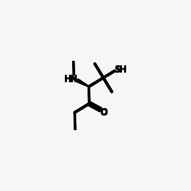 CCC(=O)[C@@H](NC)C(C)(C)S